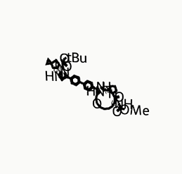 COC(=O)N[C@H]1CCCCOCc2[nH]c(nc2-c2ccc(-c3ccc(-c4c[nH]c([C@@H]5CC6(CC6)CN5C(=O)OC(C)(C)C)n4)cc3)cc2)[C@@H]2CCCN2C1=O